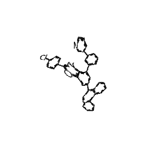 Clc1ccc(-c2nc3c(-c4cccc(-c5cccnc5)c4)cc(-c4cc5ccccc5c5ccccc45)cc3o2)cc1